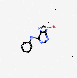 Brn1cnc2c(Nc3ccccc3)ncnc21